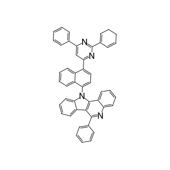 C1=CC(c2nc(-c3ccccc3)cc(-c3ccc(-n4c5ccccc5c5c(-c6ccccc6)nc6ccccc6c54)c4ccccc34)n2)=CCC1